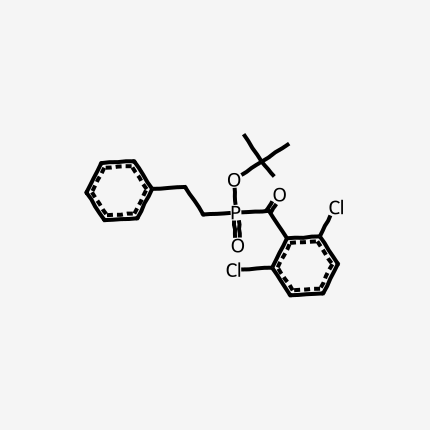 CC(C)(C)OP(=O)(CCc1ccccc1)C(=O)c1c(Cl)cccc1Cl